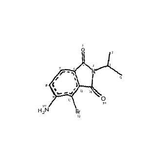 CC(C)N1C(=O)c2ccc(N)c(Br)c2C1=O